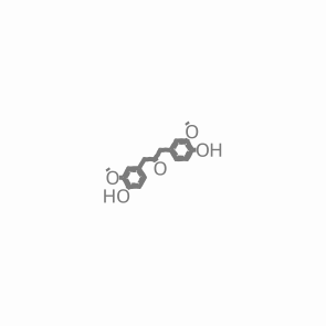 COc1cc(CC(=O)Cc2ccc(O)c(OC)c2)ccc1O